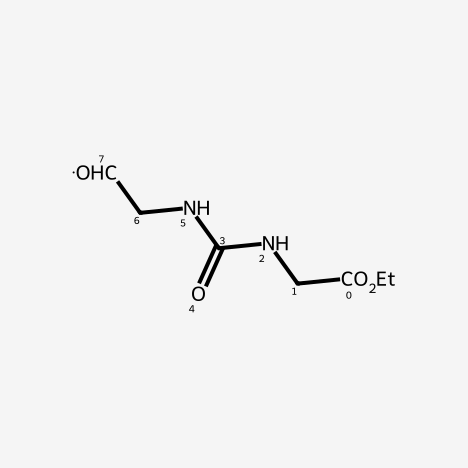 CCOC(=O)CNC(=O)NC[C]=O